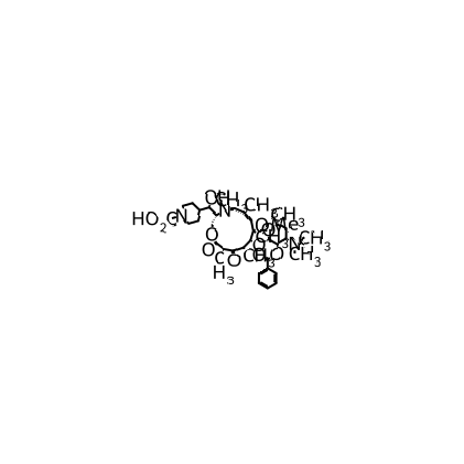 CO[C@]1(C)C[C@@H](C)CN(C)[C@@H]([C@H](O)C2CCN(C(=O)O)CC2)COC(=O)[C@H](C)C(=O)[C@H](C)[C@H]1O[C@@H]1O[C@H](C)C[C@H](N(C)C)[C@H]1OC(=O)c1ccccc1